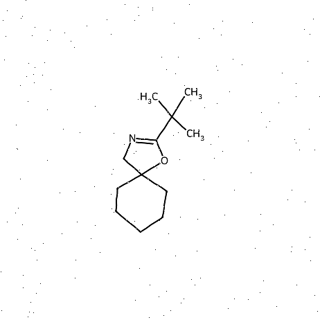 CC(C)(C)C1=NCC2(CCCCC2)O1